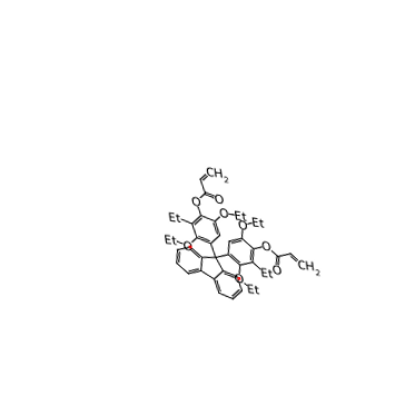 C=CC(=O)Oc1c(OCC)cc(C2(c3cc(OCC)c(OC(=O)C=C)c(CC)c3OCC)c3ccccc3-c3ccccc32)c(OCC)c1CC